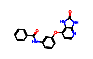 O=C(Nc1cccc(Oc2ccnc3[nH]c(=O)[nH]c23)c1)c1ccccc1